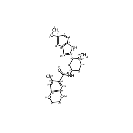 COc1ccc2[nH]c([C@H]3C[C@H](NC(=O)c4cc5c(cc4Cl)OCCO5)CCN3C)nc2c1